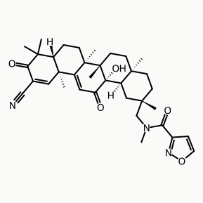 CN(C[C@@]1(C)CC[C@]2(C)CC[C@@]3(C)[C@]4(C)CC[C@H]5C(C)(C)C(=O)C(C#N)=C[C@]5(C)C4=CC(=O)[C@]3(O)[C@@H]2C1)C(=O)c1ccon1